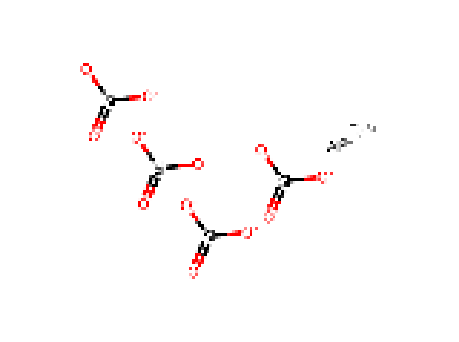 O=[Si]([O-])[O-].O=[Si]([O-])[O-].O=[Si]([O-])[O-].O=[Si]([O-])[O-].[Al+3].[Ta+5]